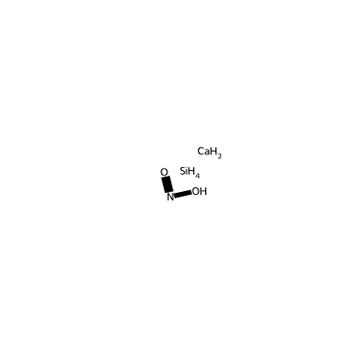 O=NO.[CaH2].[SiH4]